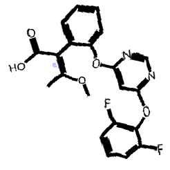 CO/C(C)=C(/C(=O)O)c1ccccc1Oc1cc(Oc2c(F)cccc2F)ncn1